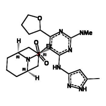 CCS(=O)(=O)N1[C@@H]2CCC[C@H]1C[C@H](c1c(Nc3cc(C)[nH]n3)nc(NC)nc1C1CCCO1)C2